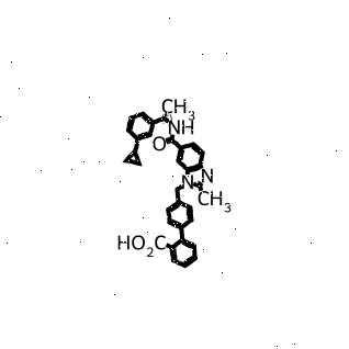 Cc1nc2ccc(C(=O)N[C@@H](C)c3cccc(C4CC4)c3)cc2n1Cc1ccc(-c2ccccc2C(=O)O)cc1